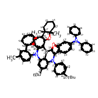 Cc1ccc(N2c3cc(C(C)(C)C)cc4c3B(c3oc5cc(N(c6ccccc6)c6ccccc6)ccc5c3N4c3ccc(C(C)(C)C)cc3)c3c2ccc2c3OC3(C)CCCCC23C)c(-c2ccccc2)c1